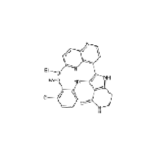 CCOc1ccc2nccc(-c3[nH]c4c(c3Nc3cccc(Cl)c3OC)C(=O)NCC4)c2n1